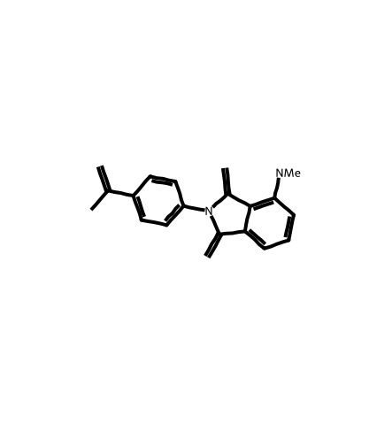 C=C(C)c1ccc(-n2c(=C)c3cccc(NC)c3c2=C)cc1